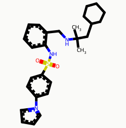 CC(C)(CC1CCCCC1)NCc1ccccc1NS(=O)(=O)c1ccc(-n2cccc2)cc1